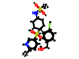 O=S(=O)(N[C@H]1CC[C@@](c2cc(CO)ccc2F)(S(=O)(=O)c2ccc(C(F)(F)F)nc2)CC1)C(F)(F)F